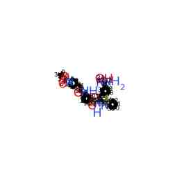 CC(C)(C)OC(=O)N1CCC(CC(=O)Nc2cccc(S(=O)(=O)NC(Cc3cccc(C(N)=NO)c3)c3nc4ccccc4s3)c2)CC1